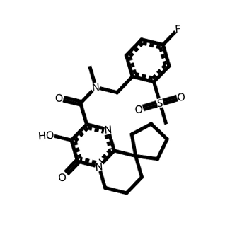 CN(Cc1ccc(F)cc1S(C)(=O)=O)C(=O)c1nc2n(c(=O)c1O)CCCC21CCCC1